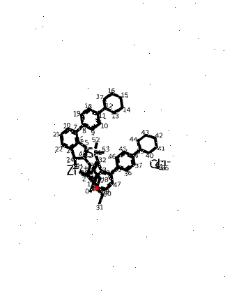 CCCCC1=C2c3c(-c4ccc(C5CCCCC5)cc4)cccc3[CH]1[Zr+2][CH]1C(CCCC)=C(c3c(-c4ccc(C5CCCCC5)cc4)cccc31)[Si]2(C)C.[Cl-].[Cl-]